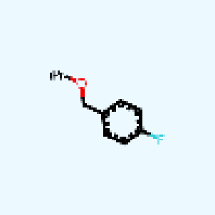 CC(C)OCc1ccc(F)cc1